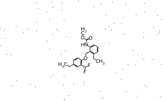 CCc1ccc(OCc2c(CC)cccc2NC(=O)OC)c(C(F)F)c1